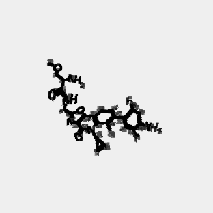 COC[C@@H](N)C(=O)NCc1nc2c(=O)n(C3CC3)c3c(C)c(-c4cc(F)c(N)cc4F)ccc3c2o1